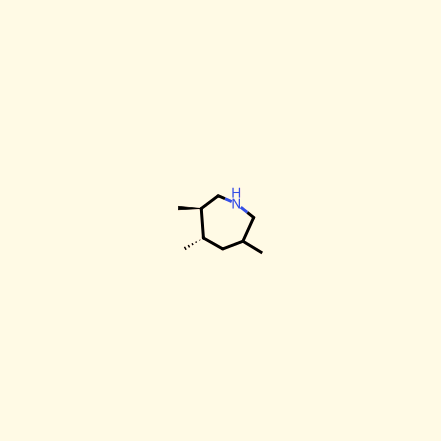 CC1CNC[C@H](C)[C@@H](C)C1